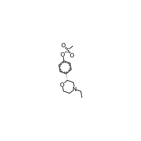 CCN1CCO[C@H](c2ccc(OS(C)(=O)=O)cc2)C1